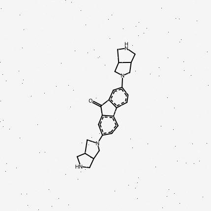 O=C1c2cc(N3CC4CNCC4C3)ccc2-c2ccc(N3CC4CNCC4C3)cc21